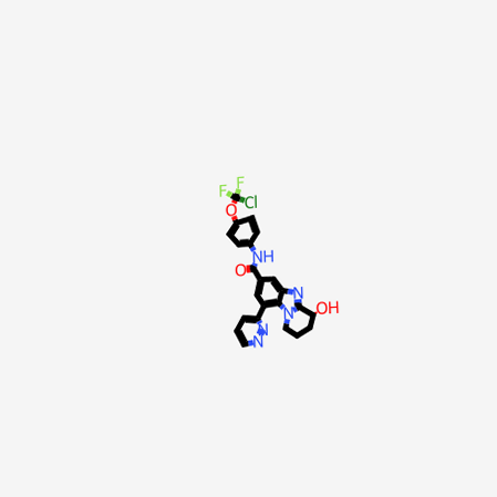 O=C(Nc1ccc(OC(F)(F)Cl)cc1)c1cc(-c2cccnn2)c2c(c1)nc1n2CCC[C@H]1O